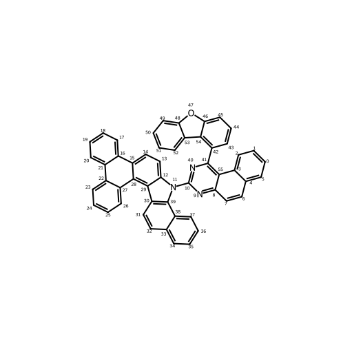 c1ccc2c(c1)ccc1nc(-n3c4ccc5c6ccccc6c6ccccc6c5c4c4ccc5ccccc5c43)nc(-c3cccc4oc5ccccc5c34)c12